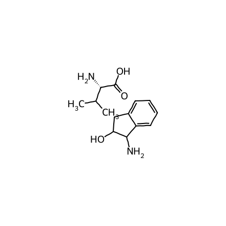 CC(C)[C@H](N)C(=O)O.NC1c2ccccc2CC1O